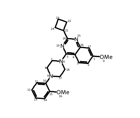 COc1ccc2c(N3CCN(c4ccccc4OC)CC3)nc(C3CCC3)nc2c1